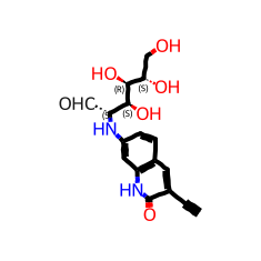 C#Cc1cc2ccc(N[C@H](C=O)[C@H](O)[C@@H](O)[C@@H](O)CO)cc2[nH]c1=O